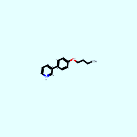 CC(C)(C)CCCOc1ccc(-c2cccnc2)cc1